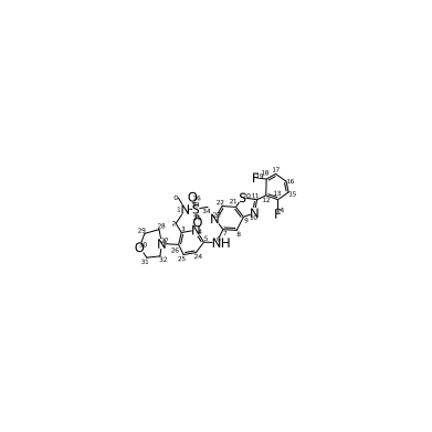 CN(Cc1nc(Nc2cc3nc(-c4c(F)cccc4F)sc3cn2)ccc1N1CCOCC1)S(C)(=O)=O